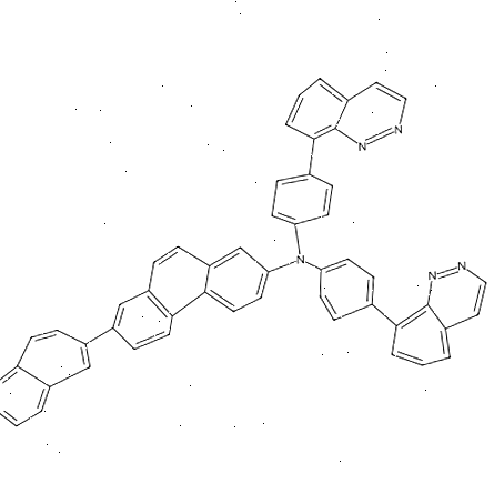 c1ccc2cc(-c3ccc4c(ccc5cc(N(c6ccc(-c7cccc8ccnnc78)cc6)c6ccc(-c7cccc8ccnnc78)cc6)ccc54)c3)ccc2c1